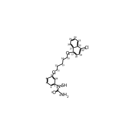 NC(=O)N(S)c1cccc(OCCCCCOc2ccc(Cl)c3ccccc23)c1